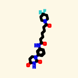 O=C1CCN(c2cccc(NC(=O)CCCCCC(=O)N3CCC(F)(F)CC3)c2)C(=O)N1